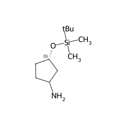 CC(C)(C)[Si](C)(C)O[C@H]1CCC(N)C1